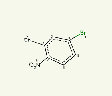 [CH2]Cc1cc(Br)ccc1[N+](=O)[O-]